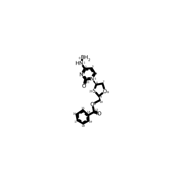 BNc1ccn([C@H]2CO[C@@H](COC(=O)c3ccccc3)S2)c(=O)n1